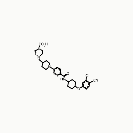 N#Cc1ccc(OC2CCC(NC(=O)c3ccc(N4CCC(CN5CCN(C(=O)O)CC5)CC4)nn3)CC2)cc1Cl